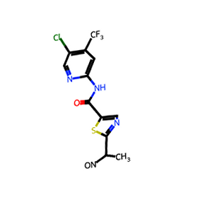 CC(N=O)c1ncc(C(=O)Nc2cc(C(F)(F)F)c(Cl)cn2)s1